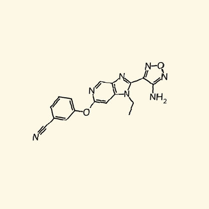 CCn1c(-c2nonc2N)nc2cnc(Oc3cccc(C#N)c3)cc21